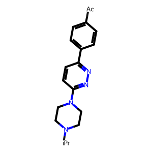 CC(=O)c1ccc(-c2ccc(N3CCN(C(C)C)CC3)nn2)cc1